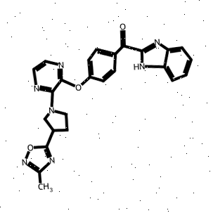 Cc1noc(C2CCN(c3nccnc3Oc3ccc(C(=O)c4nc5ccccc5[nH]4)cc3)C2)n1